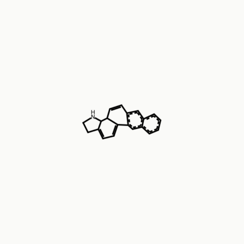 C1=CC2C(=CC=C3CCNC32)c2cc3ccccc3cc21